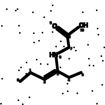 CCC=C(CC)NCC(=O)O